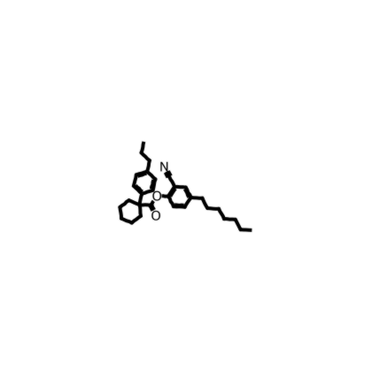 CCCCCCCc1ccc(OC(=O)C2(c3ccc(CCC)cc3)CCCCC2)c(C#N)c1